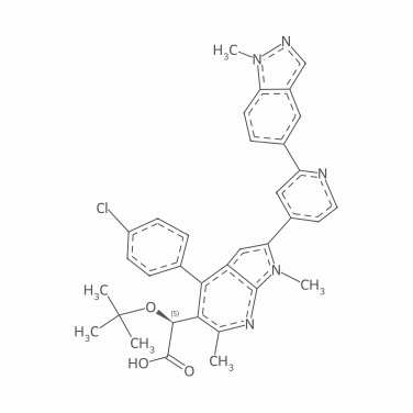 Cc1nc2c(cc(-c3ccnc(-c4ccc5c(cnn5C)c4)c3)n2C)c(-c2ccc(Cl)cc2)c1[C@H](OC(C)(C)C)C(=O)O